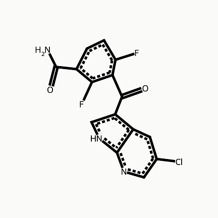 NC(=O)c1ccc(F)c(C(=O)c2c[nH]c3ncc(Cl)cc23)c1F